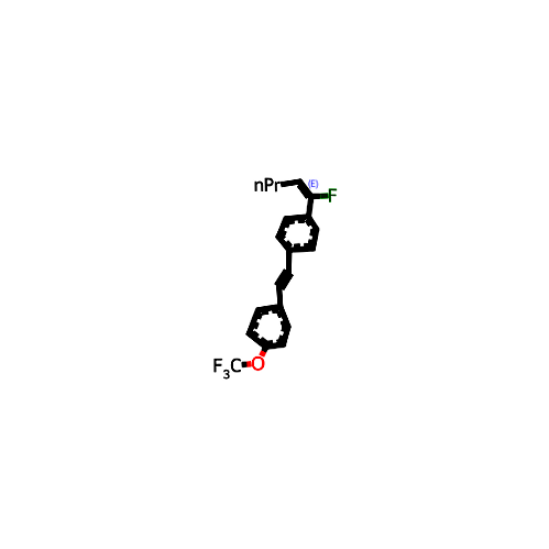 CCC/C=C(/F)c1ccc(C#Cc2ccc(OC(F)(F)F)cc2)cc1